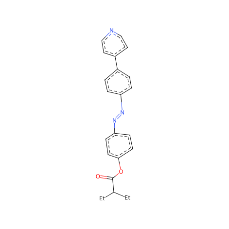 CCC(CC)C(=O)Oc1ccc(N=Nc2ccc(-c3ccncc3)cc2)cc1